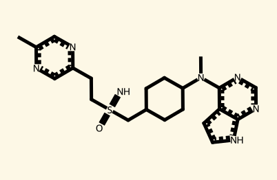 Cc1cnc(CCS(=N)(=O)CC2CCC(N(C)c3ncnc4[nH]ccc34)CC2)cn1